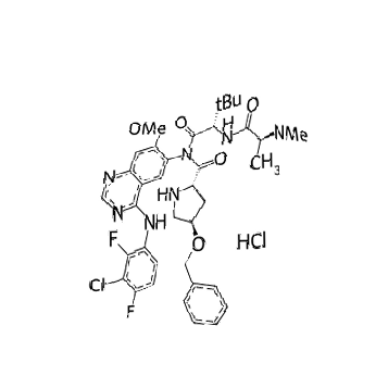 CN[C@@H](C)C(=O)N[C@H](C(=O)N(C(=O)[C@@H]1C[C@@H](OCc2ccccc2)CN1)c1cc2c(Nc3ccc(F)c(Cl)c3F)ncnc2cc1OC)C(C)(C)C.Cl